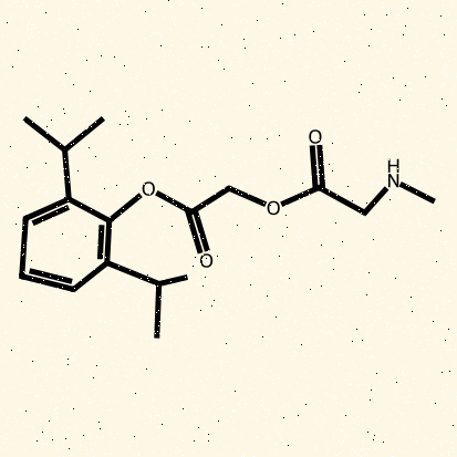 CNCC(=O)OCC(=O)Oc1c(C(C)C)cccc1C(C)C